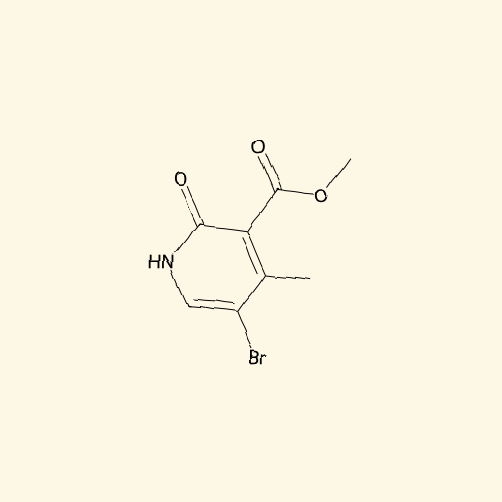 COC(=O)c1c(C)c(Br)c[nH]c1=O